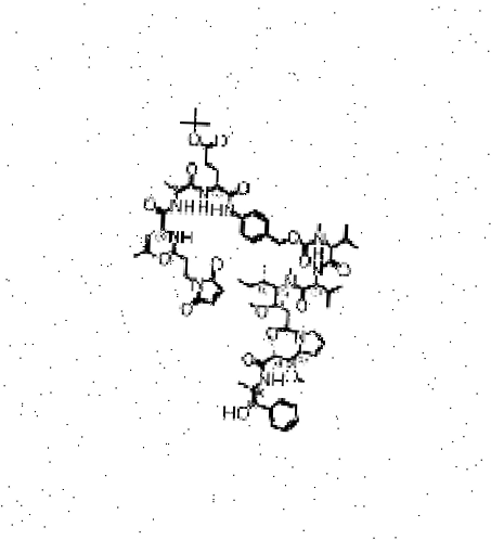 CC[C@H](C)[C@@H]([C@@H](CC(=O)N1CCC[C@H]1[C@H](OC)[C@@H](C)C(=O)N[C@H](C)[C@@H](O)c1ccccc1)OC)N(C)C(=O)[C@@H](NC(=O)C(C(C)C)N(C)C(=O)OCc1ccc(NC(=O)[C@H](CCC(=O)OC(C)(C)C)NC(=O)[C@H](C)NC(=O)[C@@H](CC(C)C)NC(=O)CCN2C(=O)C=CC2=O)cc1)C(C)C